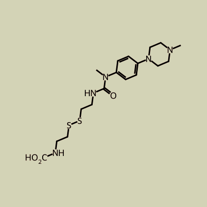 CN1CCN(c2ccc(N(C)C(=O)NCCSSCCNC(=O)O)cc2)CC1